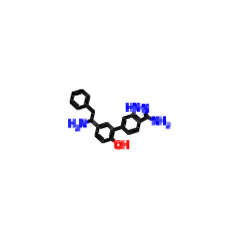 Nc1n[nH]c2cc(-c3cc(C(N)Cc4ccccc4)ccc3O)ccc12